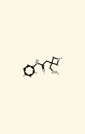 CCC1(CC(=O)Nc2ccccc2)COC1